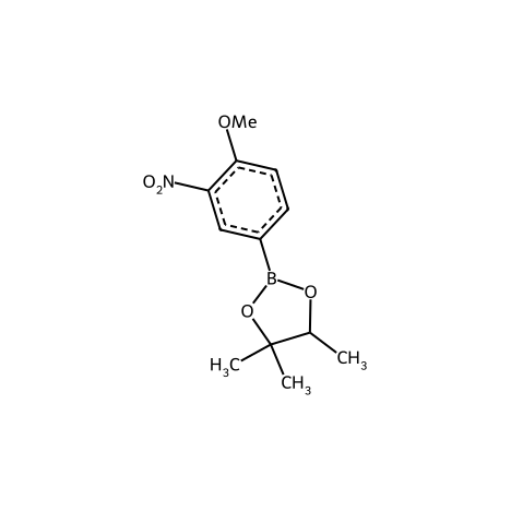 COc1ccc(B2OC(C)C(C)(C)O2)cc1[N+](=O)[O-]